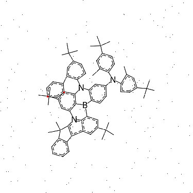 Cc1cc(C(C)(C)C)ccc1N(c1ccc2c(c1)N(c1ccc(C(C)(C)C)cc1-c1ccccc1)c1cc(C(C)(C)C)cc3c1B2c1cc(C(C)(C)C)cc2c4c(n-3c12)C(C)(C)c1ccccc1-4)c1ccc(C(C)(C)C)cc1C